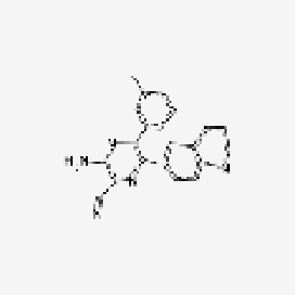 Cc1cccc(-c2nc(N)c(C#N)nc2-c2ccc3ncccc3c2)c1